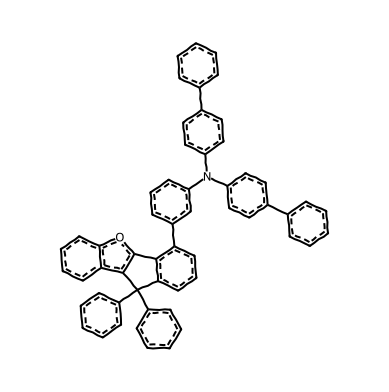 c1ccc(-c2ccc(N(c3ccc(-c4ccccc4)cc3)c3cccc(-c4cccc5c4-c4oc6ccccc6c4C5(c4ccccc4)c4ccccc4)c3)cc2)cc1